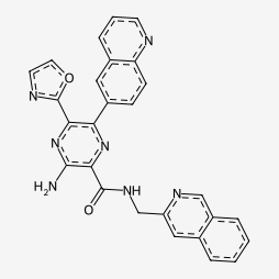 Nc1nc(-c2ncco2)c(-c2ccc3ncccc3c2)nc1C(=O)NCc1cc2ccccc2cn1